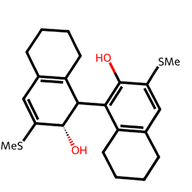 CSC1=CC2=C(CCCC2)C(c2c(O)c(SC)cc3c2CCCC3)[C@@H]1O